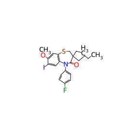 CCCCC1(CC)CSc2cc(OC)c(I)cc2N(c2ccc(F)cc2)C1=O